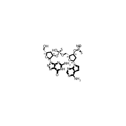 Nc1nc2c(nnn2[C@@H]2O[C@H](CO)C[C@H]2OP(O)(=S)OC[C@H]2O[C@@H](n3ccc4c(N)ncnc43)C[C@@H]2O[PH](O)=S)c(=O)[nH]1